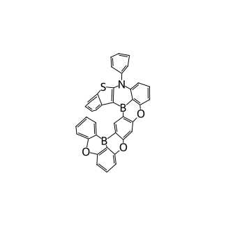 c1ccc(N2c3cccc4c3B(c3cc5c(cc3O4)Oc3cccc4c3B5c3ccccc3O4)c3c2sc2ccccc32)cc1